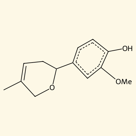 COc1cc(C2CC=C(C)CO2)ccc1O